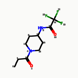 CCC(=O)N1CCC(NC(=O)C(F)(F)F)CC1